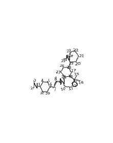 CN(C)C1CCC(/C=C/N2CCOC(C)(C)C3CC(C4CCCC=[N+]4C)CCC32)CC1